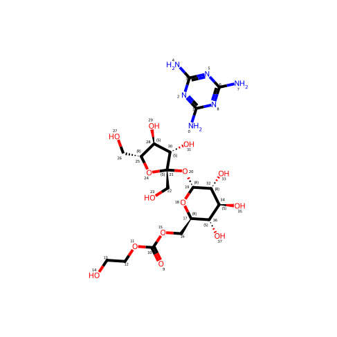 Nc1nc(N)nc(N)n1.O=C(OCCO)OC[C@H]1O[C@H](O[C@]2(CO)O[C@H](CO)[C@@H](O)[C@@H]2O)[C@H](O)[C@@H](O)[C@@H]1O